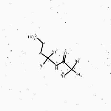 [2H]C([2H])(CCS(=O)(=O)O)NC(=O)C([2H])([2H])[2H]